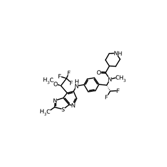 CO[C@H](c1c(Nc2ccc([C@@H](C(F)F)N(C)C(=O)C3CCNCC3)cc2)cnc2sc(C)nc12)C(F)(F)F